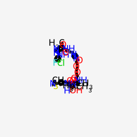 COc1cc2ncnc(Nc3ccc(F)c(Cl)c3)c2cc1NC(=O)/C=C/CN1CCN(C(=O)CCOCCOCCC(=O)NC(C(=O)N2C[C@H](O)C[C@H]2C(=O)NCc2ccc(-c3scnc3C)cc2)C(C)(C)C)CC1